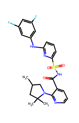 CC1CN(c2ncccc2C(=O)NS(=O)(=O)c2cccc(Nc3cc(F)cc(F)c3)n2)C(C)(C)C1